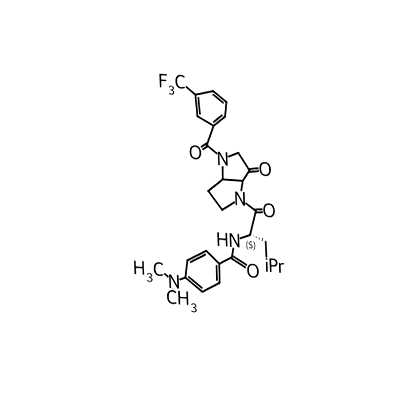 CC(C)C[C@H](NC(=O)c1ccc(N(C)C)cc1)C(=O)N1CCC2C1C(=O)CN2C(=O)c1cccc(C(F)(F)F)c1